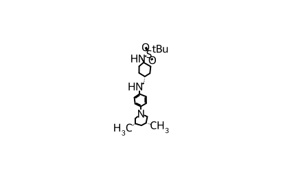 C[C@@H]1C[C@H](C)CN(c2ccc(NC[C@H]3CC[C@H](NS(=O)(=O)C(C)(C)C)CC3)cc2)C1